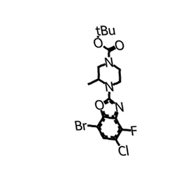 CC1CN(C(=O)OC(C)(C)C)CCN1c1nc2c(F)c(Cl)cc(Br)c2o1